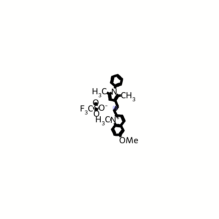 COc1ccc2c(ccc(/C=C/c3cc(C)n(-c4ccccc4)c3C)[n+]2C)c1.O=S(=O)([O-])C(F)(F)F